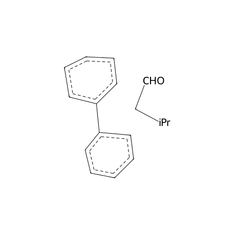 CC(C)CC=O.c1ccc(-c2ccccc2)cc1